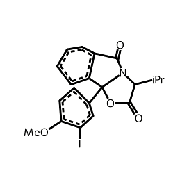 COc1ccc(C23OC(=O)C(C(C)C)N2C(=O)c2ccccc23)cc1I